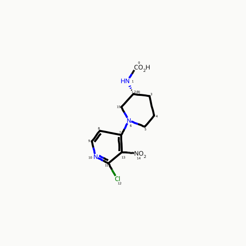 O=C(O)N[C@@H]1CCCN(c2ccnc(Cl)c2[N+](=O)[O-])C1